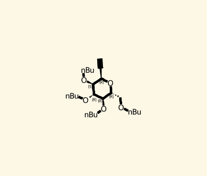 C#C[C@H]1O[C@H](COCCCC)[C@@H](OCCCC)[C@H](OCCCC)[C@H]1OCCCC